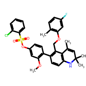 COc1cc(OS(=O)(=O)c2ccccc2Cl)ccc1-c1ccc2c(c1COc1cc(F)ccc1C)C(C)=CC(C)(C)N2